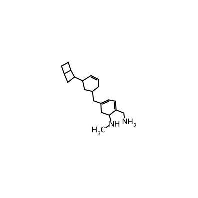 CNC1CC(CC2CC=CC(C3CC4CCC43)C2)=CC=C1CN